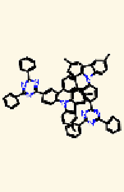 Cc1ccc2c(c1)c1cc(C)ccc1n2-c1ccc(-c2nc(-c3ccccc3)nc(-c3ccccc3)n2)cc1-c1cccc(-c2cc(-c3nc(-c4ccccc4)nc(-c4ccccc4)n3)ccc2-n2c3ccc(C)cc3c3cc(C)ccc32)c1